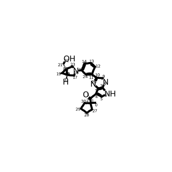 CC1(C(=O)c2c[nH]c3ncc(-c4cccc(N5C[C@@H]6C[C@@]6(CO)C5)c4)nc23)CCCC1